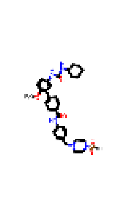 CS(=O)(=O)N1CCN(Cc2ccc(NC(=O)c3ccc(-c4cc(NC(=O)NC5CCCCC5)ccc4OC(F)(F)F)cc3)cc2)CC1